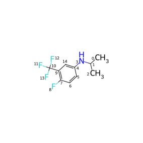 CC(C)Nc1ccc(F)c(C(F)(F)F)c1